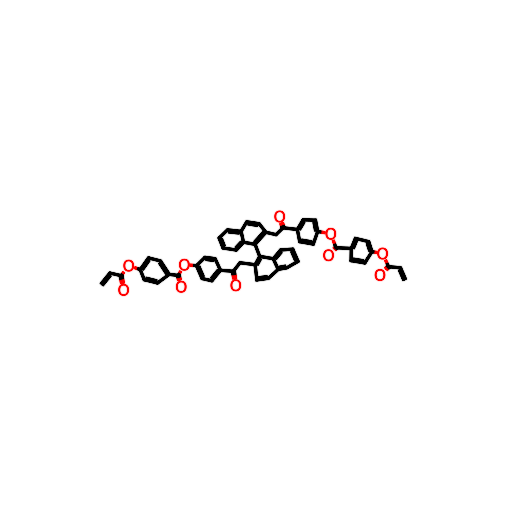 C=CC(=O)Oc1ccc(C(=O)Oc2ccc(C(=O)Cc3ccc4ccccc4c3-c3c(CC(=O)c4ccc(OC(=O)c5ccc(OC(=O)C=C)cc5)cc4)ccc4ccccc34)cc2)cc1